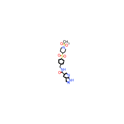 CS(=O)(=O)N1CCC(S(=O)(=O)c2ccc(CNC(=O)c3cnc4[nH]ncc4c3)cc2)CC1